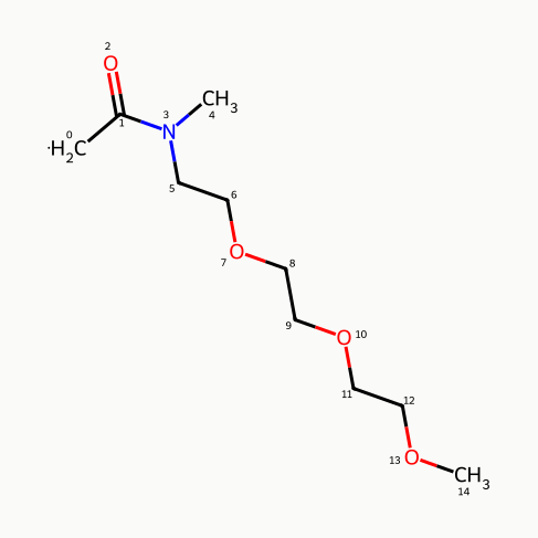 [CH2]C(=O)N(C)CCOCCOCCOC